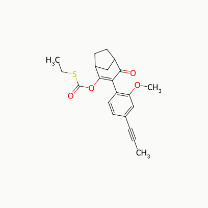 CC#Cc1ccc(C2=C(OC(=O)SCC)C3CCC(C3)C2=O)c(OC)c1